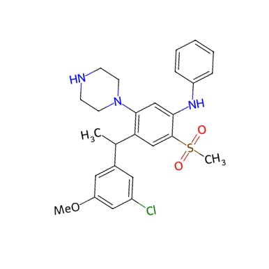 COc1cc(Cl)cc(C(C)c2cc(S(C)(=O)=O)c(Nc3ccccc3)cc2N2CCNCC2)c1